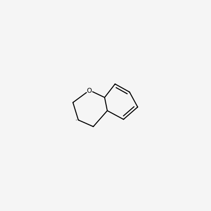 [CH]1COC2C=CC=CC2C1